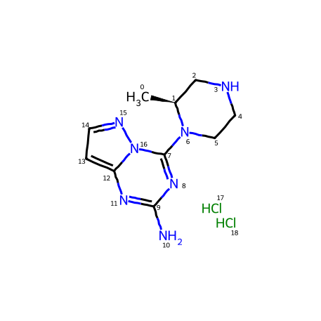 C[C@H]1CNCCN1c1nc(N)nc2ccnn12.Cl.Cl